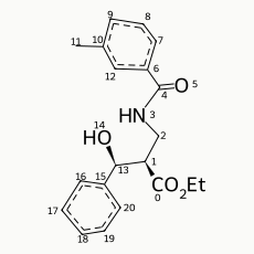 CCOC(=O)[C@H](CNC(=O)c1cccc(C)c1)[C@H](O)c1ccccc1